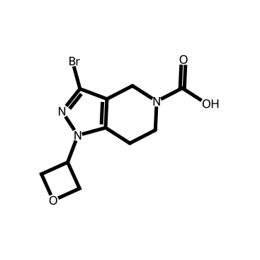 O=C(O)N1CCc2c(c(Br)nn2C2COC2)C1